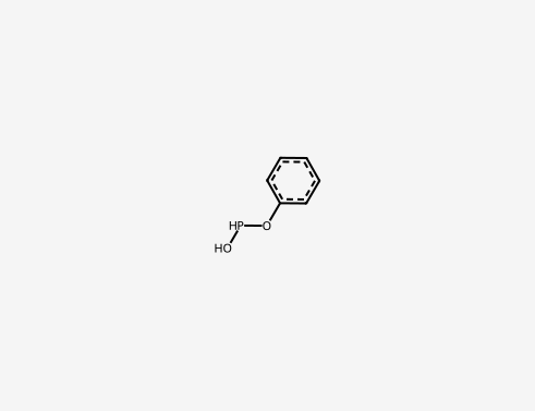 OPOc1ccccc1